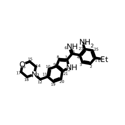 CCc1ccc(C(=N)c2cc3cc(CN4CCOCC4)ccc3[nH]2)c(N)c1